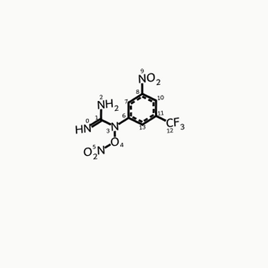 N=C(N)N(O[N+](=O)[O-])c1cc([N+](=O)[O-])cc(C(F)(F)F)c1